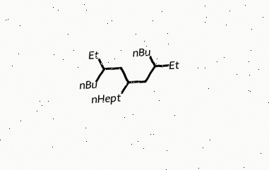 CCCCCCCC(CC(CC)CCCC)CC(CC)CCCC